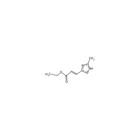 CCOC(=O)/C=C/c1c[nH]c(C)n1